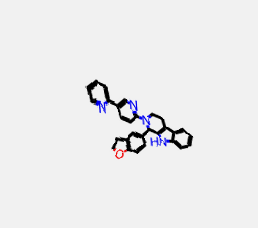 c1ccc(-c2ccc(N3CCc4c([nH]c5ccccc45)C3c3ccc4c(c3)CCO4)nc2)nc1